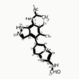 CC(=O)C(C)Nc1c(F)c(Cl)c(-c2ccc3nc(NC=O)cn3c2)c2cn[nH]c12